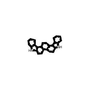 c1ccc2c(c1)[nH]c1ccc3c4ccc5[nH]c6ccccc6c5c4ccc3c12